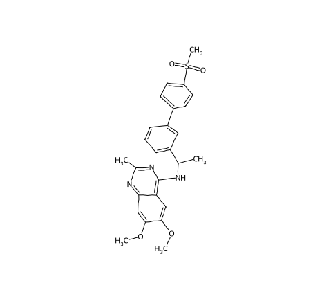 COc1cc2nc(C)nc(NC(C)c3cccc(-c4ccc(S(C)(=O)=O)cc4)c3)c2cc1OC